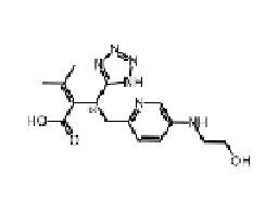 CC(C)=C(C(=O)O)[C@H](Cc1ccc(NCCO)cn1)c1nnn[nH]1